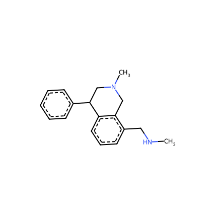 CNCc1cccc2c1CN(C)CC2c1ccccc1